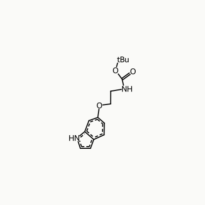 CC(C)(C)OC(=O)NCCOc1ccc2cc[nH]c2c1